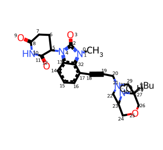 Cn1c(=O)n(C2CCC(=O)NC2=O)c2cccc(C#CCN3CC4COCC(C(C)(C)C)(C3)N4C(=O)O)c21